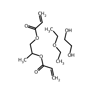 C=CC(=O)OCC(C)OC(=O)C=C.CCOCC.OCCO